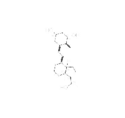 C=C1C(=CC=C2CCC[C@]3(C)[C@@H]([C@H](C)O)CC[C@@H]23)C[C@@H](O)C[C@@H]1O